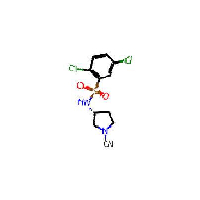 N#CN1CC[C@@H](NS(=O)(=O)c2cc(Cl)ccc2Cl)C1